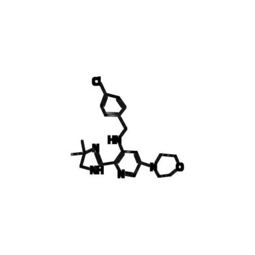 CC1(C)CNC(c2ncc(N3CCOCC3)cc2NCc2ccc(Cl)cc2)=N1